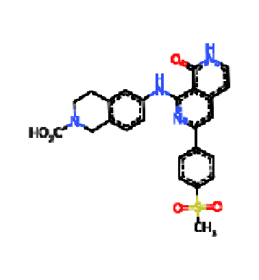 CS(=O)(=O)c1ccc(-c2cc3cc[nH]c(=O)c3c(Nc3ccc4c(c3)CCN(C(=O)O)C4)n2)cc1